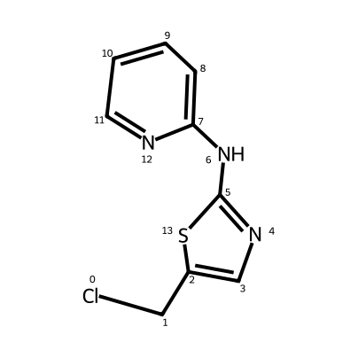 ClCc1cnc(Nc2ccccn2)s1